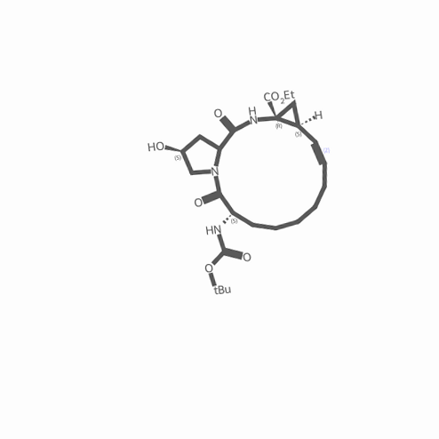 CCOC(=O)[C@@]12C[C@H]1/C=C\CCCCC[C@H](NC(=O)OC(C)(C)C)C(=O)N1C[C@@H](O)CC1C(=O)N2